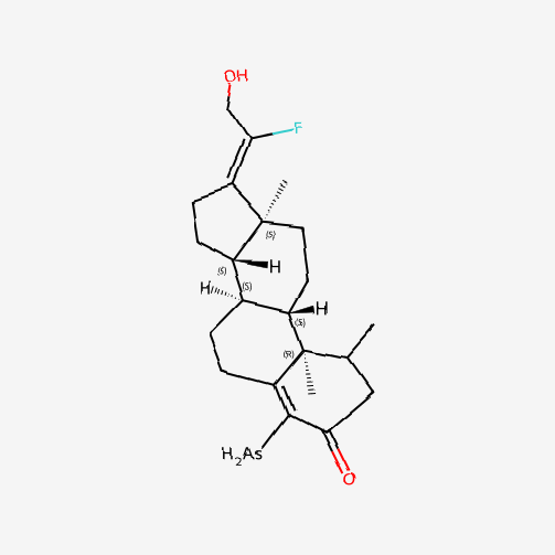 CC1CC(=O)C([AsH2])=C2CC[C@H]3[C@@H]4CCC(=C(F)CO)[C@@]4(C)CC[C@@H]3[C@]21C